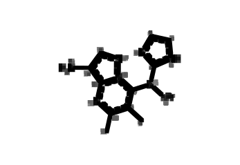 CCCN(c1ncc[nH]1)c1c(C)c(C)nc2c(N)cnn12